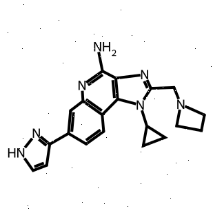 Nc1nc2cc(-c3cc[nH]n3)ccc2c2c1nc(CN1CCC1)n2C1CC1